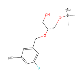 CC(C)(C)[Si](C)(C)OC[C@@H](CO)OCc1cc(F)cc(C#N)c1